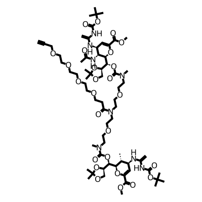 C#CCOCCOCCOCCOCCC(=O)N(CCOCCN(C)C(=O)O[C@@H]([C@@H]1OC(C(=O)OC)=C[C@H](NC(=C)NC(=O)OC(C)(C)C)[C@H]1C)[C@H]1COC(C)(C)O1)CCOCCN(C)C(=O)O[C@@H]([C@@H]1OC(C(=O)OC)=C[C@H](NC(=C)NC(=O)OC(C)(C)C)[C@H]1NC(C)=O)[C@H]1COC(C)(C)O1